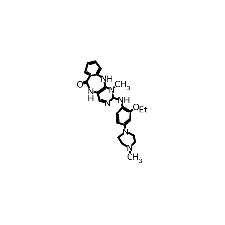 CCOc1cc(N2CCN(C)CC2)ccc1NC1N=CC2=C(Nc3ccccc3C(=O)N2)N1C